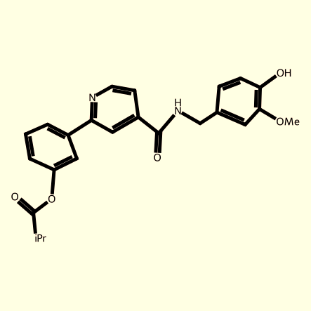 COc1cc(CNC(=O)c2ccnc(-c3cccc(OC(=O)C(C)C)c3)c2)ccc1O